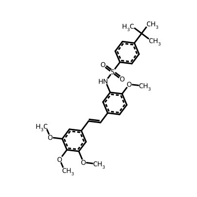 COc1ccc(C=Cc2cc(OC)c(OC)c(OC)c2)cc1NS(=O)(=O)c1ccc(C(C)(C)C)cc1